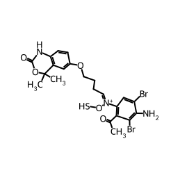 CC(=O)c1c([N+](=CCCCOc2ccc3c(c2)C(C)(C)OC(=O)N3)OS)cc(Br)c(N)c1Br